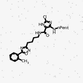 CCCCCNc1nc(Cl)[nH]c1C(=O)NCCCCc1noc(-c2ccccc2C)n1